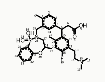 Cc1ccc(C(CC(=O)O)c2cc(CCN(C)C)c(F)cc2C)cc1CN1CC(C)Oc2ccccc2S1(O)O